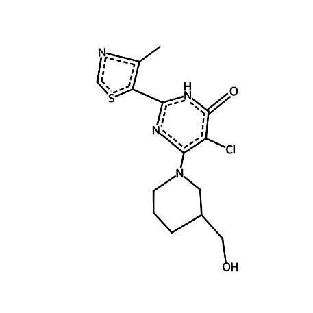 Cc1ncsc1-c1nc(N2CCCC(CO)C2)c(Cl)c(=O)[nH]1